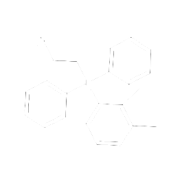 Cc1cccc([PH](CCN)(c2ccccc2)c2ccccc2)c1C